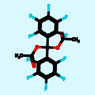 CC(=O)O[Si](OC(C)=O)(c1c(F)c(F)c(F)c(F)c1F)c1c(F)c(F)c(F)c(F)c1F